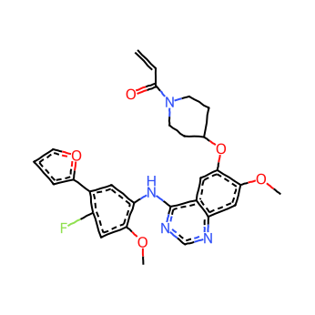 C=CC(=O)N1CCC(Oc2cc3c(Nc4cc(-c5ccco5)c(F)cc4OC)ncnc3cc2OC)CC1